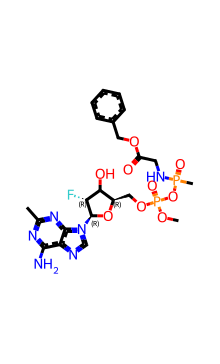 COP(=O)(OC[C@H]1O[C@@H](n2cnc3c(N)nc(C)nc32)[C@H](F)C1O)OP(C)(=O)NCC(=O)OCc1ccccc1